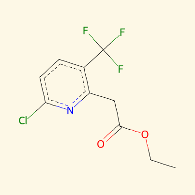 CCOC(=O)Cc1nc(Cl)ccc1C(F)(F)F